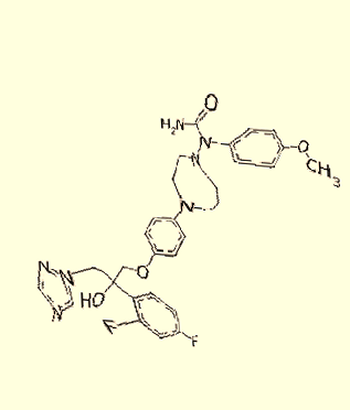 COc1ccc(N(C(N)=O)N2CCN(c3ccc(OCC(O)(Cn4cncn4)c4ccc(F)cc4F)cc3)CC2)cc1